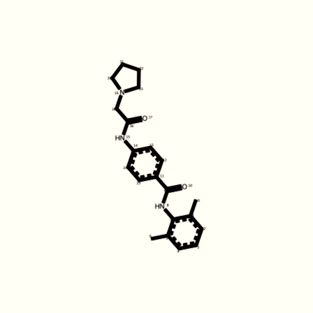 Cc1cccc(C)c1NC(=O)c1ccc(NC(=O)CN2CCCC2)cc1